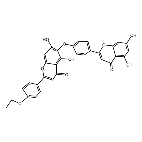 CCOc1ccc(-c2cc(=O)c3c(O)c(Oc4ccc(-c5cc(=O)c6c(O)cc(O)cc6o5)cc4)c(O)cc3o2)cc1